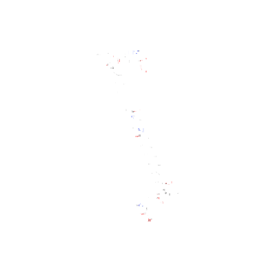 CCCCCC(OC(=O)CCC(NCl)C(=O)OO)C(O)CC=CCCCCCCCC(=O)NCCNC(=O)CCCCCCCC=CCC(O)C(CCCCC)OC(=O)CCC(NCl)C(=O)OO